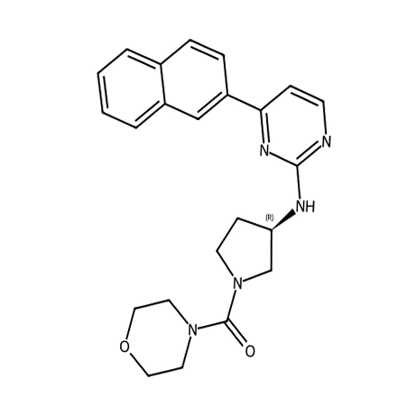 O=C(N1CCOCC1)N1CC[C@@H](Nc2nccc(-c3ccc4ccccc4c3)n2)C1